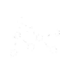 CC12CC3(C)CC(c4ccc(C#Cc5ccccc5)c(C#Cc5ccccc5)c4)(C1)CC(C14CC5(C)CC(C)(CC(c6ccc(C#Cc7ccccc7)c(C#Cc7ccccc7)c6)(C5)C1)C4)(C2)C3